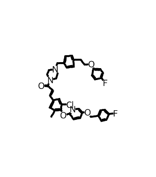 Cc1cc(/C=C/C(=O)N2CCN(Cc3ccc(CCOc4ccc(F)cc4)cc3)CC2)cc(Cl)c1Oc1ccc(OCc2ccc(F)cc2)cn1